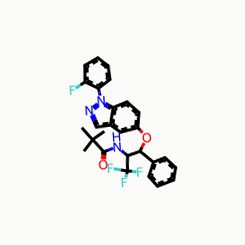 CC(C)(C)C(=O)NC(C(Oc1ccc2c(cnn2-c2ccccc2F)c1)c1ccccc1)C(F)(F)F